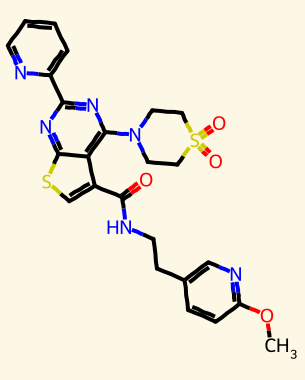 COc1ccc(CCNC(=O)c2csc3nc(-c4ccccn4)nc(N4CCS(=O)(=O)CC4)c23)cn1